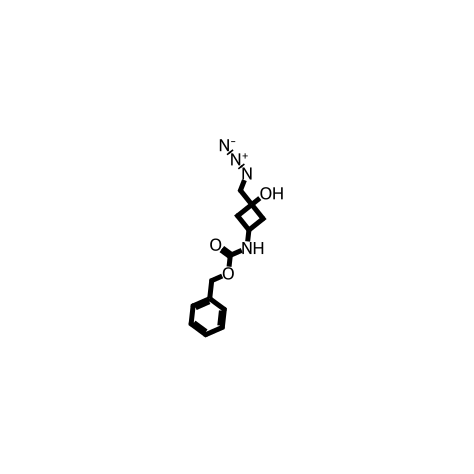 [N-]=[N+]=NCC1(O)CC(NC(=O)OCc2ccccc2)C1